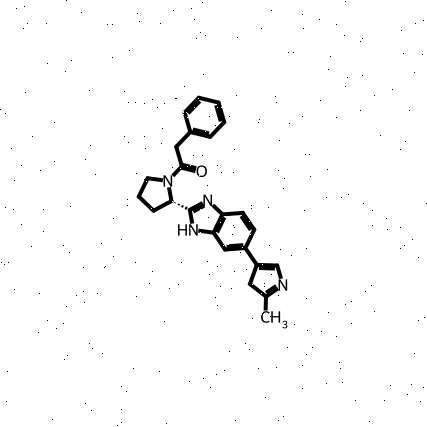 CC1=NC=C(c2ccc3nc([C@@H]4CCCN4C(=O)Cc4ccccc4)[nH]c3c2)C1